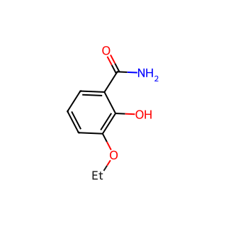 CCOc1cccc(C(N)=O)c1O